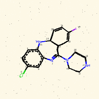 Clc1ccc2c(c1)N=C(N1CCNCC1)C1C=C(I)C=CC1N2